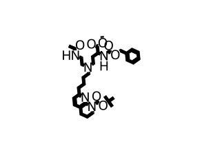 COC(=O)C(CCN(CCCCc1ccc2c(n1)N(C(=O)OC(C)(C)C)CCC2)CCNC(C)=O)NC(=O)OCc1ccccc1